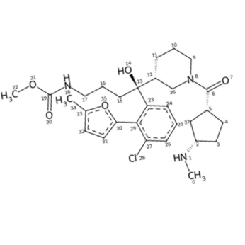 CN[C@H]1CC[C@@H](C(=O)N2CCC[C@@H]([C@@](O)(CCCNC(=O)OC)c3cccc(Cl)c3-c3ccc(C)o3)C2)C1